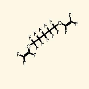 FC(F)=C(F)OC(F)(F)C(F)(F)C(F)(F)C(F)(F)C(F)(F)OC(F)=C(F)F